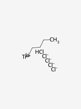 Cl.[Cl-].[Cl-].[Cl-].[Cl-].[Li][CH2]CCC.[Ti+4]